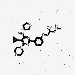 CNCC(O)COc1cccc(-c2nc(N[C@@H]3CCOC3)c(C3CC3)c(N3CCOCC3)n2)c1